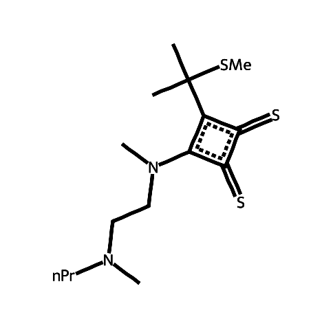 CCCN(C)CCN(C)c1c(C(C)(C)SC)c(=S)c1=S